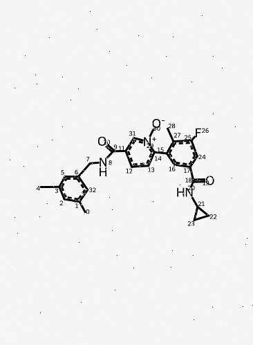 Cc1cc(C)cc(CNC(=O)c2ccc(-c3cc(C(=O)NC4CC4)cc(F)c3C)[n+]([O-])c2)c1